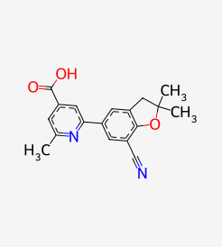 Cc1cc(C(=O)O)cc(-c2cc(C#N)c3c(c2)CC(C)(C)O3)n1